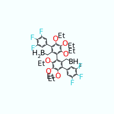 BCc1c(-c2cc(F)c(F)c(F)c2)c(OCC)c(OCC)c(OCC)c1-c1c(CB)c(-c2cc(F)c(F)c(F)c2)c(OCC)c(OCC)c1OCC